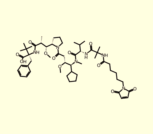 CO[C@H]([C@@H](C)C(=O)N[C@@](Cc1ccccc1)(C(=O)O)C(C)(C)C)[C@@H]1CCCN1C(=O)C[C@@H](OC)[C@H](C1CCCC1)N(C)C(=O)[C@@H](NC(=O)C(C)(C)NC(=O)CCCCCN1C(=O)C=CC1=O)C(C)C